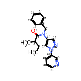 CCC(C)C(=O)N(Cc1ccccc1)c1cnn(-c2cccnc2)c1